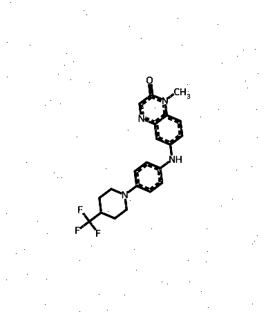 Cn1c(=O)cnc2cc(Nc3ccc(N4CCC(C(F)(F)F)CC4)cc3)ccc21